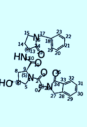 C[C@@H](C(=O)N1C[C@H](O)C[C@H]1C(=O)N[C@@H]1CCN(Cc2ccccc2)C1=O)N1Cc2ccccc2C1=O